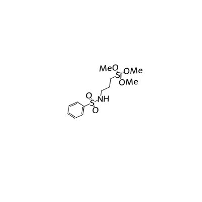 CO[Si](CCCNS(=O)(=O)c1ccccc1)(OC)OC